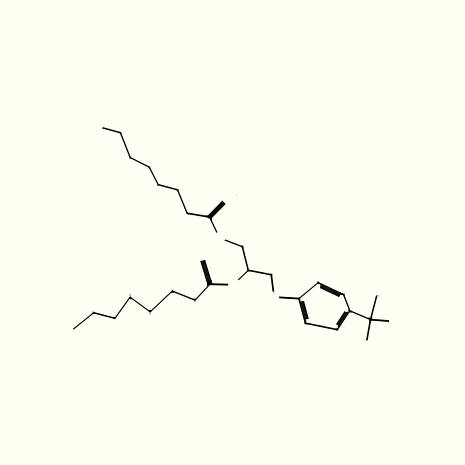 CCCCCCCC(=O)OCC(COc1ccc(C(C)(C)C)cc1)OC(=O)CCCCCCC